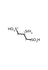 O=S(=O)(O)CCCS(=O)(=O)O.[SrH2]